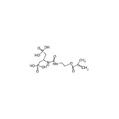 C=C(C)C(=O)OCCNC(=O)NC(CP(=O)(O)O)CP(=O)(O)O